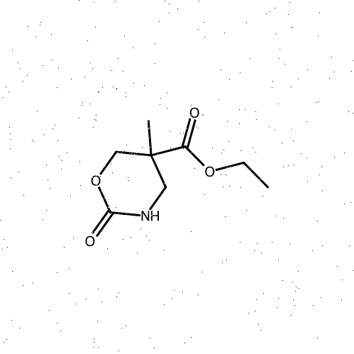 CCOC(=O)C1(C)CNC(=O)OC1